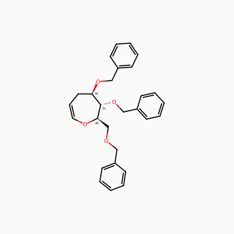 C1=CO[C@H](COCc2ccccc2)[C@@H](OCc2ccccc2)[C@H](OCc2ccccc2)C1